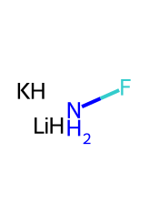 NF.[KH].[LiH]